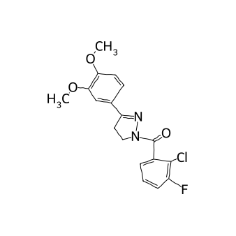 COc1ccc(C2=NN(C(=O)c3cccc(F)c3Cl)CC2)cc1OC